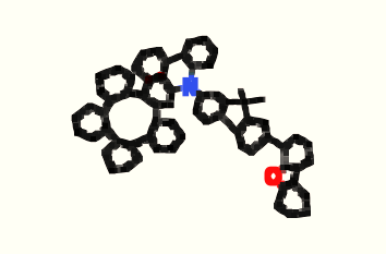 CC1(C)c2cc(-c3cccc4c3oc3ccccc34)ccc2-c2ccc(N(c3ccc4c5ccccc5c5ccccc5c5ccccc5c5ccccc5c4c3)c3ccccc3-c3ccccc3)cc21